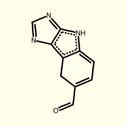 O=CC1=CC=c2[nH]c3c(c2C1)N=CN=3